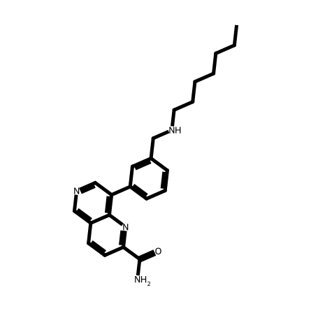 CCCCCCCNCc1cccc(-c2cncc3ccc(C(N)=O)nc23)c1